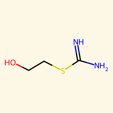 N=C(N)SCCO